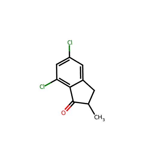 CC1Cc2cc(Cl)cc(Cl)c2C1=O